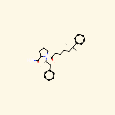 CCOC(=O)[C@H](Cc1ccccc1)[N@@+]1(C(=O)CCCC[C@@](C#N)(c2ccccc2)C(C)C)CCCC1C(N)=O